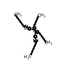 CCCCCCCCCCCCc1cnc([C@H]2CC[C@H](Cc3cc(CCCCCCCCCC)ccc3Oc3ccc(CCCCCCCCCC)cc3C[C@H]3CC[C@H](c4ncc(CCCCCCCCCCCC)cn4)CC3)CC2)nc1